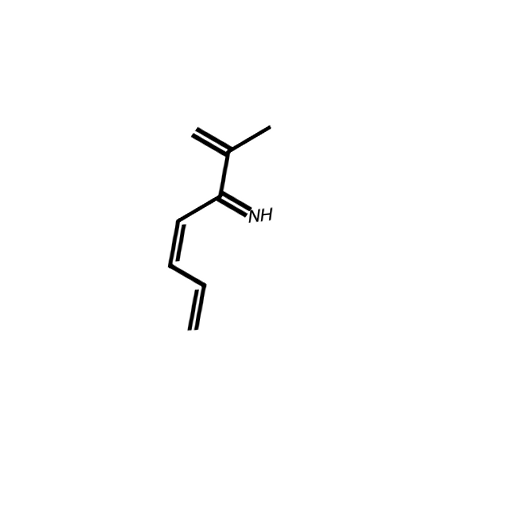 C=C/C=C\C(=N)C(=C)C